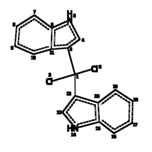 ClC(Cl)(c1c[nH]c2ccccc12)c1c[nH]c2ccccc12